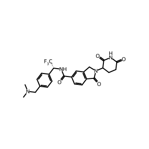 CN(C)Cc1ccc([C@@H](NC(=O)c2ccc3c(c2)CN(C2CCC(=O)NC2=O)C3=O)C(F)(F)F)cc1